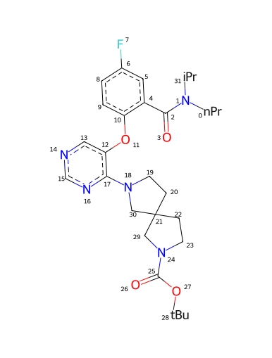 CCCN(C(=O)c1cc(F)ccc1Oc1cncnc1N1CCC2(CCN(C(=O)OC(C)(C)C)C2)C1)C(C)C